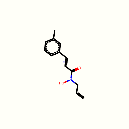 C=CCN(O)C(=O)/C=C/c1cccc(C)c1